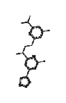 Cc1cc(CCC(C)c2cc(-c3ccsc3)cc(C)n2)nc(C(C)C)c1